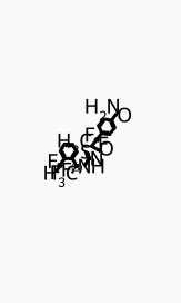 C[C@H](NC1=NC(=O)C(C)(C(F)(F)c2ccc(C(N)=O)cc2)S1)c1ccccc1C(F)(F)F